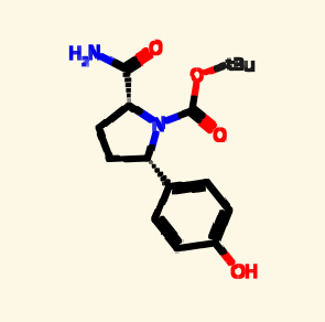 CC(C)(C)OC(=O)N1[C@@H](C(N)=O)CC[C@H]1c1ccc(O)cc1